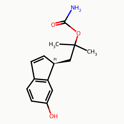 CC(C)(C[C@@H]1C=Cc2ccc(O)cc21)OC(N)=O